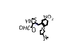 CN(C)C1CCN(c2ccc([N+](=O)[O-])cc2/C=C2\SCNC2C(=O)C=O)C1